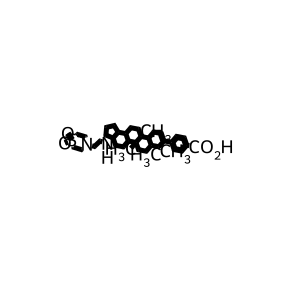 CC1(C)C(c2ccc(C(=O)O)cc2)=CCC2(C)C1CCC1(C)C3CCC4(NCCN5CCS(=O)(=O)CC5)CCCC4C3CCC12